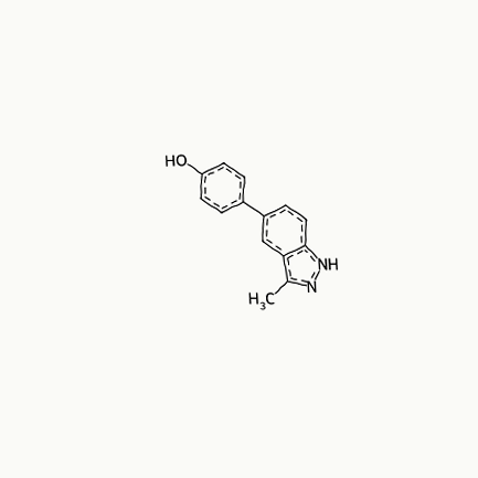 Cc1n[nH]c2ccc(-c3ccc(O)cc3)cc12